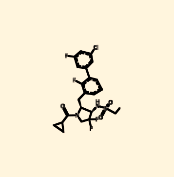 CCS(=O)(=O)N[C@@H]1[C@H](Cc2cccc(-c3cc(F)cc(Cl)c3)c2F)N(C(=O)C2CC2)CC1(F)F